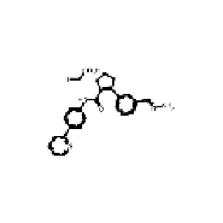 NN=Cc1cccc(C2=C(C(=O)Nc3ccc(-c4ccccn4)cc3)CCC2)c1.O=C(O)CF